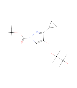 CC(C)(C)OC(=O)n1cc(BOC(C)(C)C(C)(C)O)c(C2CC2)n1